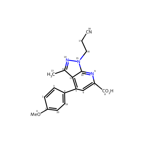 COc1ccc(-c2cc(C(=O)O)nc3c2c(C)nn3CCC#N)cc1